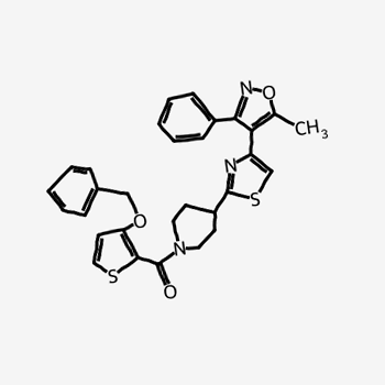 Cc1onc(-c2ccccc2)c1-c1csc(C2CCN(C(=O)c3sccc3OCc3ccccc3)CC2)n1